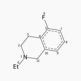 CCN1CCc2c(F)cccc2C1